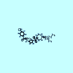 CCCCC(CC)CNC1CCCN(S(=O)(=O)c2ccc(CNC(=O)c3ccc(Cl)cc3)s2)CC1